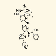 CC1NC(=O)c2ccc(Nc3ncc(-c4nc(C56CCN(CC5)CC6)no4)c(N[C@H](CO)c4ccccc4)n3)nc2C1(C)C